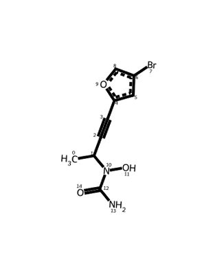 CC(C#Cc1cc(Br)co1)N(O)C(N)=O